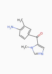 Cc1cc(C(=O)c2cncn2C)ccc1N